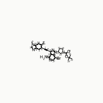 Cn1cnc2cc(C#Cc3nn([C@H]4CCN(C(=O)OC(C)(C)C)C4)c4c(Br)cnc(N)c34)c(F)cc21